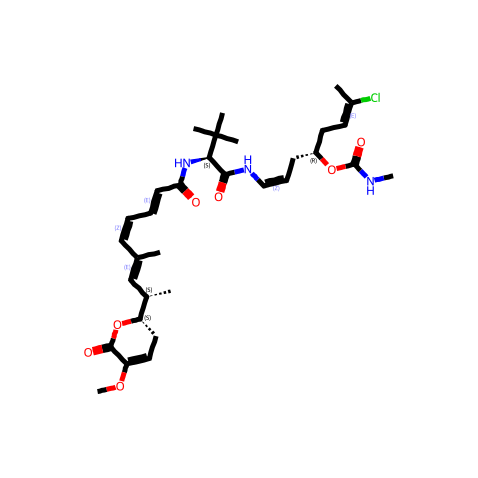 CNC(=O)O[C@H](C/C=C\NC(=O)[C@@H](NC(=O)/C=C/C=C\C(C)=C\[C@H](C)[C@@H]1CC=C(OC)C(=O)O1)C(C)(C)C)C/C=C(\C)Cl